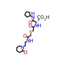 O=C(O)C[C@H](NC(=O)CSCC(=O)NCCN1CCCCC1=O)C(=O)NC1CCCC1